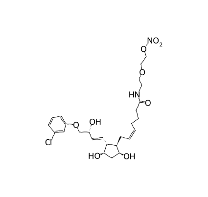 O=C(CCC/C=C\C[C@@H]1[C@@H](/C=C/[C@@H](O)COc2cccc(Cl)c2)[C@H](O)C[C@@H]1O)NCCOCCO[N+](=O)[O-]